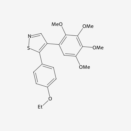 CCOc1ccc(-c2sncc2-c2cc(OC)c(OC)c(OC)c2OC)cc1